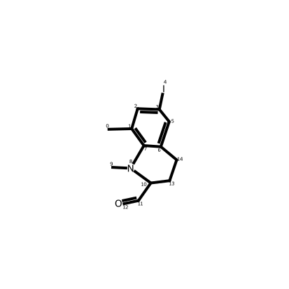 Cc1cc(I)cc2c1N(C)C(C=O)CC2